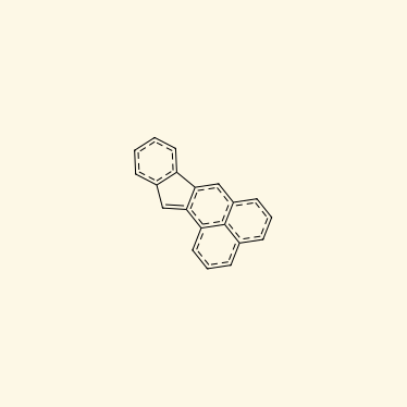 C1=c2c(cc3cccc4cccc2c43)-c2ccccc21